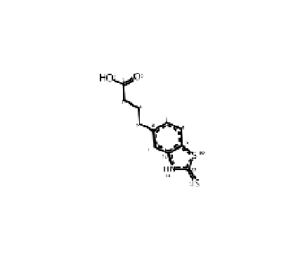 O=C(O)CCCc1ccc2sc(=S)[nH]c2c1